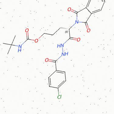 CC(C)(C)NC(=O)OCCC[C@@H](C(=O)NNC(=O)c1ccc(Cl)cc1)N1C(=O)c2ccccc2C1=O